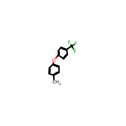 Cc1ccc(Oc2ccc(C(F)(F)F)cc2)cc1